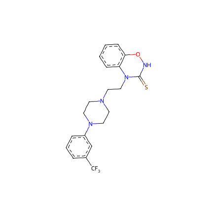 FC(F)(F)c1cccc(N2CCN(CCN3C(=S)NOc4ccccc43)CC2)c1